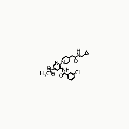 CS(=O)(=O)c1cnc(N2CCC(CC(=O)NCC3CC3)CC2)c(NC(=O)c2cccc(Cl)c2)c1